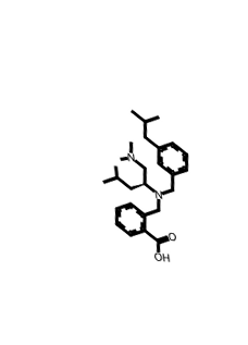 CC(C)Cc1cccc(CN(Cc2ccccc2C(=O)O)[C@@H](CC(C)C)CN(C)C)c1